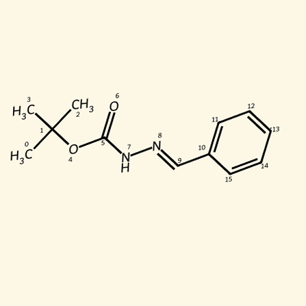 CC(C)(C)OC(=O)NN=Cc1cc[c]cc1